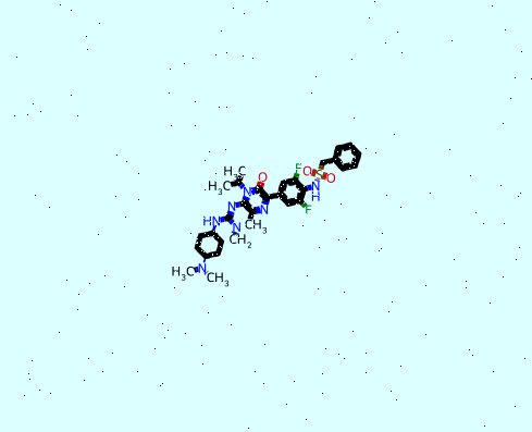 C=N/C(=N\c1c(C)nc(-c2cc(F)c(NS(=O)(=O)Cc3ccccc3)c(F)c2)c(=O)n1C(C)C)N[C@H]1CC[C@H](N(C)C)CC1